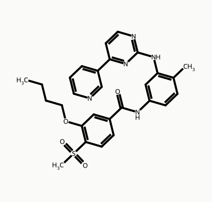 CCCCOc1cc(C(=O)Nc2ccc(C)c(Nc3nccc(-c4cccnc4)n3)c2)ccc1S(C)(=O)=O